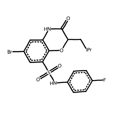 CC(C)CC1Oc2c(cc(Br)cc2S(=O)(=O)Nc2ccc(F)cc2)NC1=O